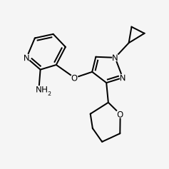 Nc1ncccc1Oc1cn(C2CC2)nc1C1CCCCO1